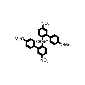 COc1ccc(-c2cc([N+](=O)[O-])ccc2S(=O)(=O)c2ccc([N+](=O)[O-])cc2-c2ccc(OC)cc2)cc1